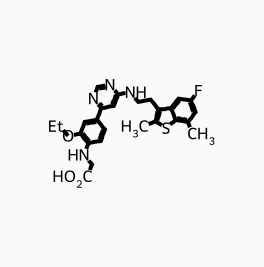 CCOc1cc(-c2cc(NCCc3c(C)sc4c(C)cc(F)cc34)ncn2)ccc1NCC(=O)O